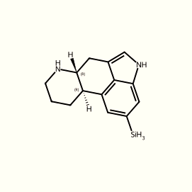 [SiH3]c1cc2c3c(c[nH]c3c1)C[C@H]1NCCC[C@H]21